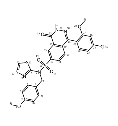 COc1ccc(CN(c2nncs2)S(=O)(=O)c2ccc3c(-c4ccc(Cl)cc4OC)n[nH]c(=O)c3c2)cc1